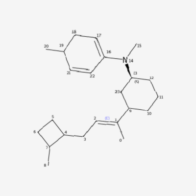 C/C(=C\CC1CCC1C)C1CCC[C@H](N(C)C2=CCC(C)C=C2)C1